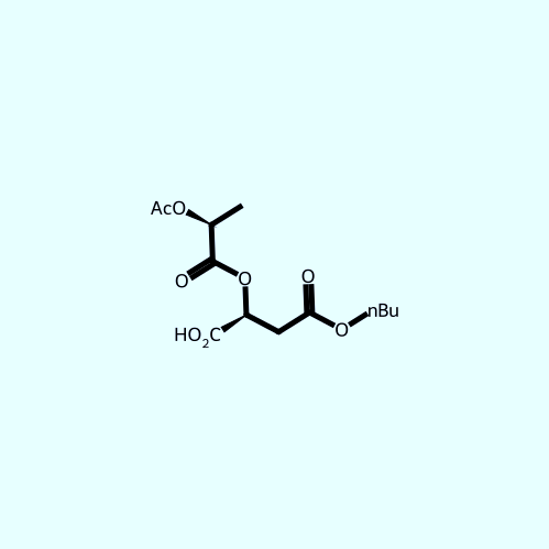 CCCCOC(=O)C[C@H](OC(=O)[C@H](C)OC(C)=O)C(=O)O